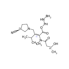 BNPOC(=O)/C(=C(\CN1CC[C@H](C#N)C1)C(C)C)N(C)C(=O)C[C@@H](C)O